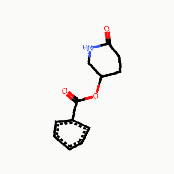 O=C1CCC(OC(=O)c2ccccc2)CN1